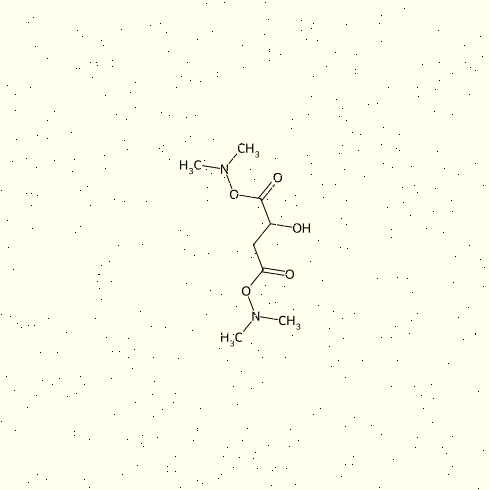 CN(C)OC(=O)CC(O)C(=O)ON(C)C